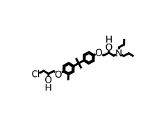 CCCN(CCC)CC(O)COc1ccc(C(C)(C)c2ccc(OCC(O)CCl)c(C)c2)cc1